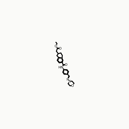 CCOC(=O)CC1CCc2cc(C(=O)Nc3ccc(C=NN4CCOCC4)cc3)ccc2C1